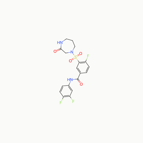 O=C1CN(S(=O)(=O)c2cc(C(=O)Nc3ccc(F)c(F)c3)ccc2F)CCCN1